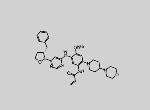 C=CC(=O)Nc1cc(Nc2cc(N3OCC[C@@H]3Cc3ccccc3)ncn2)c(OC)cc1N1CCC(N2CCOCC2)CC1